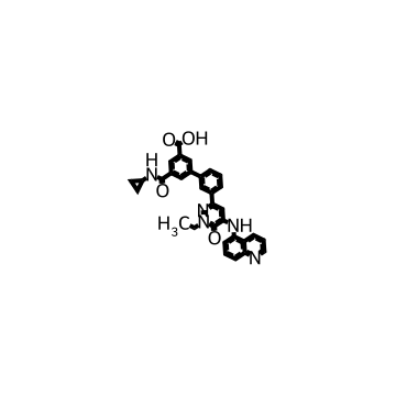 CCn1nc(-c2cccc(-c3cc(C(=O)O)cc(C(=O)NC4CC4)c3)c2)cc(Nc2cccc3ncccc23)c1=O